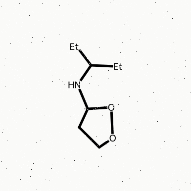 CCC(CC)N[C]1CCOO1